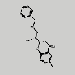 O=C1C[C@@H]([C@H](O)CNCc2ccccc2)Oc2ccc(F)cc21